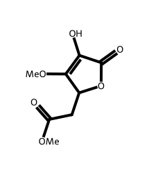 COC(=O)CC1OC(=O)C(O)=C1OC